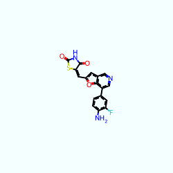 Nc1ccc(-c2cncc3cc(C=C4SC(=O)NC4=O)oc23)cc1F